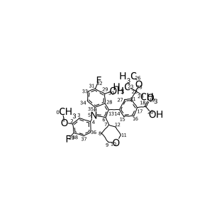 COc1cc(-n2c(C3CCOCC3)c(-c3ccc(C(=O)O)c(C(C)(C)OC)c3)c3c(O)c(F)ccc32)ccc1F